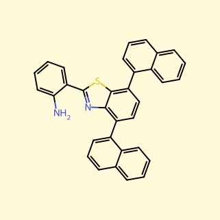 Nc1ccccc1-c1nc2c(-c3cccc4ccccc34)ccc(-c3cccc4ccccc34)c2s1